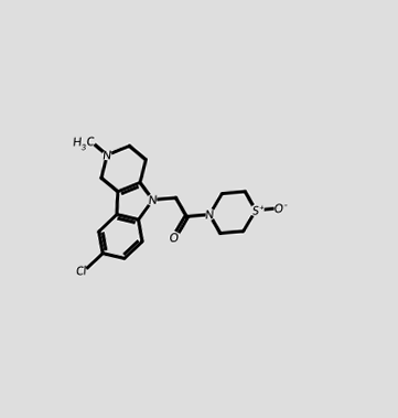 CN1CCc2c(c3cc(Cl)ccc3n2CC(=O)N2CC[S+]([O-])CC2)C1